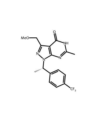 COCc1nn([C@@H](C)c2ccc(C(F)(F)F)cc2)c2nc(C)[nH]c(=O)c12